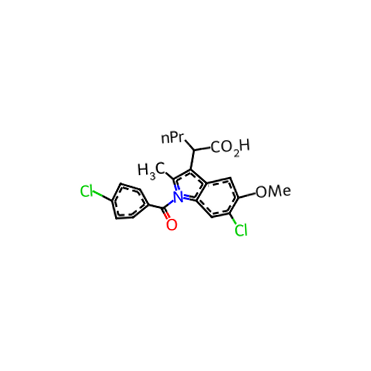 CCCC(C(=O)O)c1c(C)n(C(=O)c2ccc(Cl)cc2)c2cc(Cl)c(OC)cc12